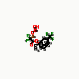 CC1(OC(=O)C(F)(F)SOOO)C2CC3CC1CC(C(F)(F)F)(C3)C2